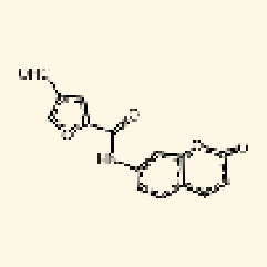 O=Cc1coc(C(=O)Nc2ccc3ccc(=O)oc3c2)c1